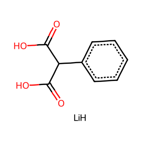 O=C(O)C(C(=O)O)c1ccccc1.[LiH]